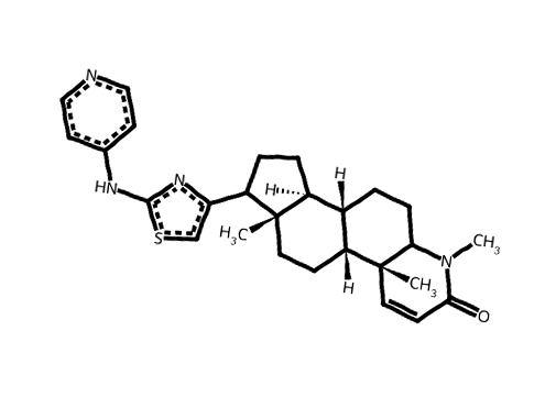 CN1C(=O)C=C[C@@]2(C)C1CC[C@@H]1[C@H]2CC[C@]2(C)C(c3csc(Nc4ccncc4)n3)CC[C@@H]12